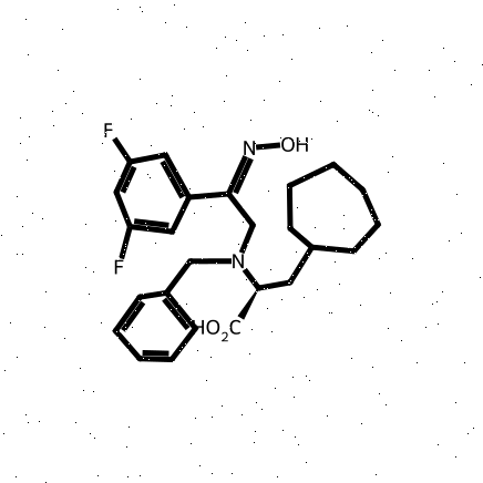 O=C(O)[C@H](CC1CCCCCC1)N(C/C(=N\O)c1cc(F)cc(F)c1)Cc1ccccc1